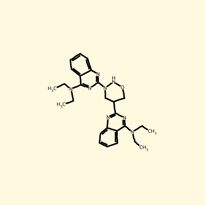 CCN(CC)c1nc(C2CONN(c3nc(N(CC)CC)c4ccccc4n3)C2)nc2ccccc12